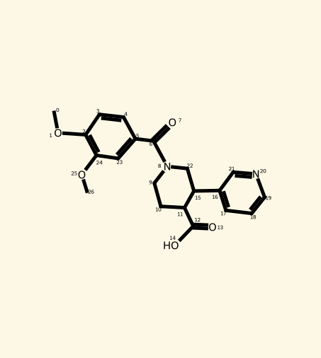 COc1ccc(C(=O)N2CCC(C(=O)O)C(c3cccnc3)C2)cc1OC